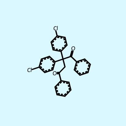 O=C(CC(C(=O)c1ccccc1)(c1ccc(Cl)cc1)c1ccc(Cl)cc1)c1ccccc1